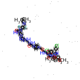 COc1ccc(C2=N[C@@H](c3ccc(Cl)cc3)[C@@H](c3ccc(Cl)cc3)N2C(=O)N2CCN(CC(=O)NCCOCCN3C[C@@H]4CN(CCC(=O)NCCCNc5cc(N6CCC7(CC6)CN(c6cc(F)c(CN8CCC(C)(C)CC8)cc6F)CC(=O)N7)ncn5)C[C@@H]4C3)C(=O)C2)c(OC(C)C)c1